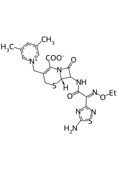 CCON=C(C(=O)NC1C(=O)N2C(C(=O)[O-])=C(C[n+]3cc(C)cc(C)c3)CS[C@@H]12)c1nsc(N)n1